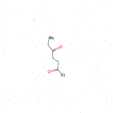 CCC(=O)CCC(=O)CC(C)CC